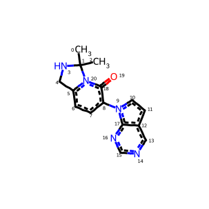 CC1(C)NCc2ccc(-n3ccc4cncnc43)c(=O)n21